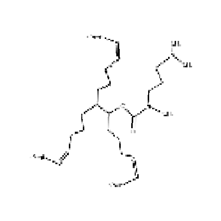 CCCCC/C=C\CCCC(CCC/C=C\CCCCC)C(CCC/C=C\CCCCC)OC(=O)N(C)CCCN(C)C